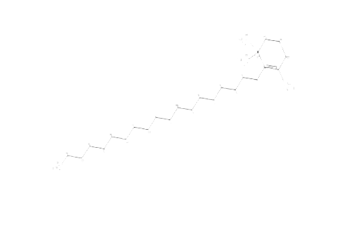 CC1=C(CCCCCCCCCCCCCCCCCCO)C(C)(C)CCC1